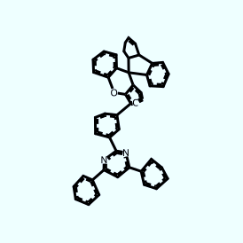 C1=CC2c3ccccc3C3(c4ccccc4Oc4c(-c5cccc(-c6nc(-c7ccccc7)cc(-c7ccccc7)n6)c5)cccc43)C2CC1